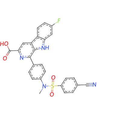 CN(c1ccc(-c2nc(C(=O)O)cc3c2[nH]c2cc(F)ccc23)cc1)S(=O)(=O)c1ccc(C#N)cc1